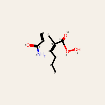 C=CC(N)=O.CCCC=C(C)C(=O)OO